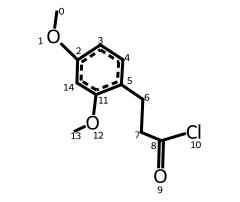 COc1ccc(CCC(=O)Cl)c(OC)c1